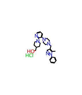 Cc1c(CN2CCN(c3cccnc3N3CCC(CO)CC3)CC2)cnn1-c1ccccc1.Cl